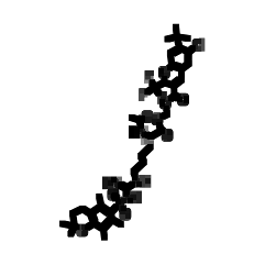 CC(=O)N[C@@H](CCCCNC(=N)NS(=O)(=O)c1c(C)c(C)c2c(c1C)CCC(C)(C)O2)C(=O)OCOC(=O)C1=Cc2cc(Cl)c(C(C)(C)C)cc2OC1C(F)(F)F